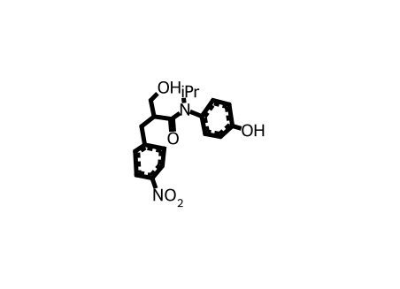 CC(C)N(C(=O)C(CO)Cc1ccc([N+](=O)[O-])cc1)c1ccc(O)cc1